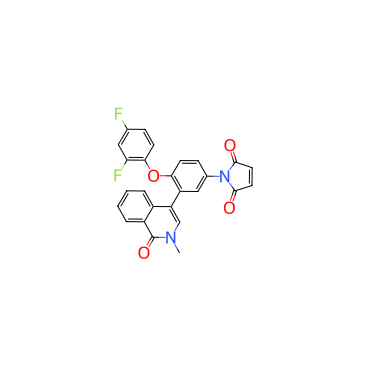 Cn1cc(-c2cc(N3C(=O)C=CC3=O)ccc2Oc2ccc(F)cc2F)c2ccccc2c1=O